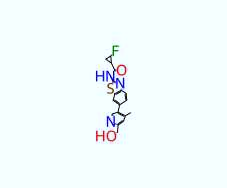 Cc1cc(CO)ncc1-c1ccc2nc(NC(=O)C3CC3F)sc2c1